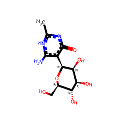 Cc1nc(=O)c([C@@H]2O[C@H](CO)[C@@H](O)[C@H](O)[C@@H]2O)c(N)[nH]1